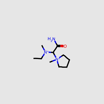 CC[N+](C)C(C(N)=O)[N+]1(C)CCCC1